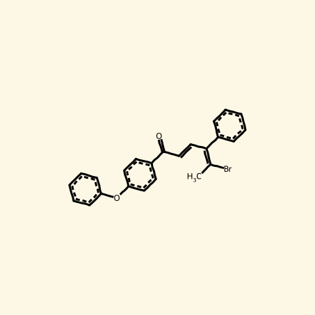 CC(Br)=C(C=CC(=O)c1ccc(Oc2ccccc2)cc1)c1ccccc1